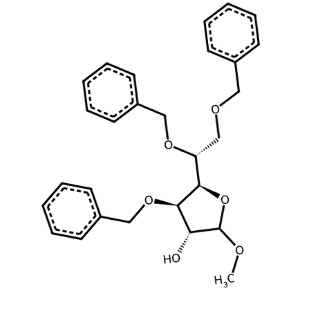 COC1O[C@H]([C@@H](COCc2ccccc2)OCc2ccccc2)[C@H](OCc2ccccc2)[C@H]1O